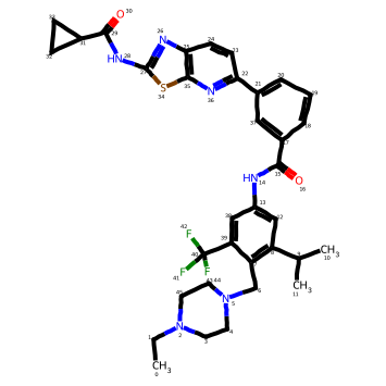 CCN1CCN(Cc2c(C(C)C)cc(NC(=O)c3cccc(-c4ccc5nc(NC(=O)C6CC6)sc5n4)c3)cc2C(F)(F)F)CC1